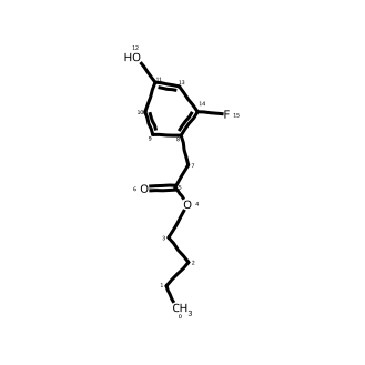 CCCCOC(=O)Cc1ccc(O)cc1F